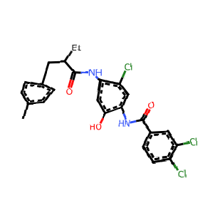 CCC(Cc1ccc(C)cc1)C(=O)Nc1cc(O)c(NC(=O)c2ccc(Cl)c(Cl)c2)cc1Cl